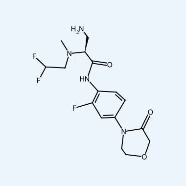 CN(CC(F)F)[C@@H](CN)C(=O)Nc1ccc(N2CCOCC2=O)cc1F